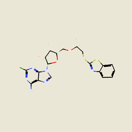 C[C@H](CSc1nc2ccccc2s1)OC[C@H]1O[C@@H](n2cnc3c(N)nc(Cl)nc32)[C@H](O)[C@@H]1O